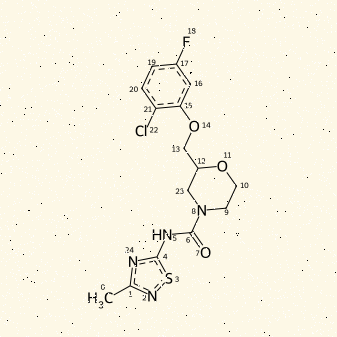 Cc1nsc(NC(=O)N2CCOC(COc3cc(F)ccc3Cl)C2)n1